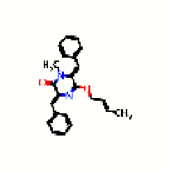 CC=CCOc1n/c(=C\c2ccccc2)c(=O)n(C)/c1=C\c1ccccc1